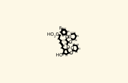 O=C(O)CCCC=CCC1C(O)CC(OC2CCCCO2)C1OCC(COc1ccc(F)cc1)OC1CCCCO1